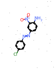 Nc1ccc(N=Nc2ccc(Cl)cc2)cc1[N+](=O)[O-]